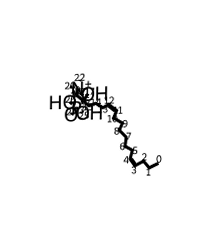 CCC/C=C\CCCCCC/C=C\CCCC(O)(C[N+](C)(C)C)P(=O)(O)O